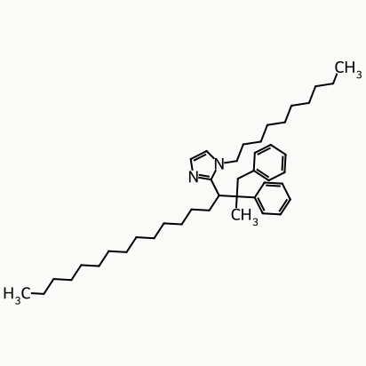 CCCCCCCCCCCCCCC(c1nccn1CCCCCCCCCC)C(C)(Cc1ccccc1)c1ccccc1